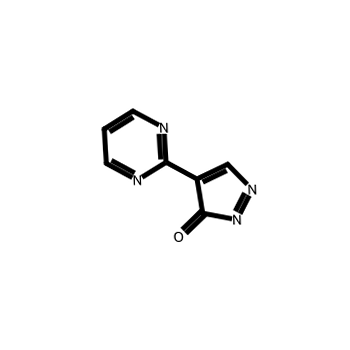 O=C1N=NC=C1c1ncccn1